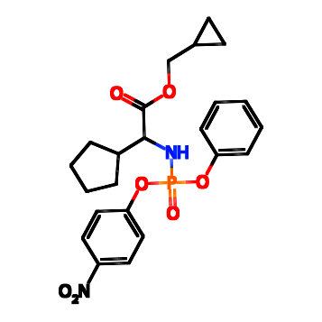 O=C(OCC1CC1)C(NP(=O)(Oc1ccccc1)Oc1ccc([N+](=O)[O-])cc1)C1CCCC1